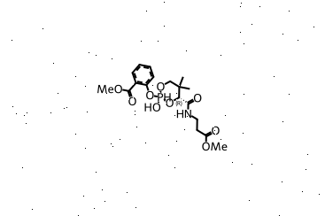 COC(=O)CCNC(=O)[C@@H]1O[PH](O)(Oc2ccccc2C(=O)OC)OCC1(C)C